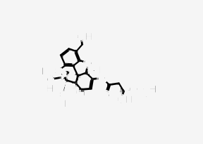 Cc1ccc(CO)c2c1[C@]13CCN(C)[C@H](C)[C@]1(O)CC=C(OC(=O)C[C@@H](O)C(=O)O)[C@@H]3O2